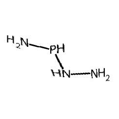 NNPN